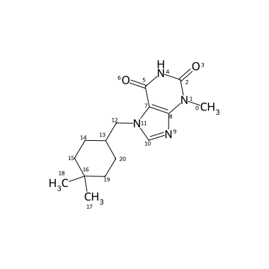 Cn1c(=O)[nH]c(=O)c2c1ncn2CC1CCC(C)(C)CC1